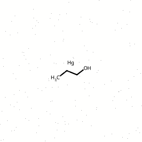 CCCO.[Hg]